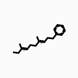 CC/C(C)=C/CC/C(C)=C/CCc1ccccc1